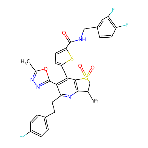 Cc1nnc(-c2c(CCc3ccc(F)cc3)nc3c(c2-c2ccc(C(=O)NCc4ccc(F)c(F)c4)s2)S(=O)(=O)CC3C(C)C)o1